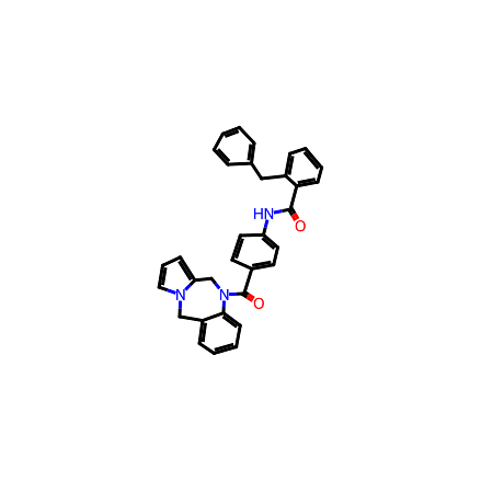 O=C(Nc1ccc(C(=O)N2Cc3cccn3Cc3ccccc32)cc1)c1ccccc1Cc1ccccc1